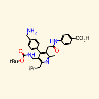 Cc1nc(CC(C)C)c(CNC(=O)OC(C)(C)C)c(-c2ccc(CN)cc2)c1CC(=O)Nc1ccc(C(=O)O)cc1